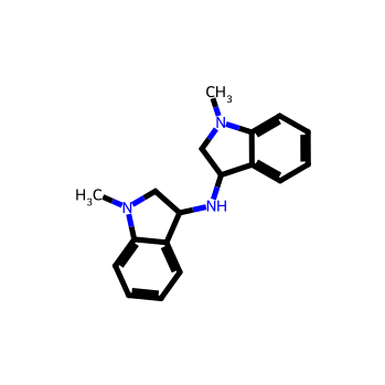 CN1CC(NC2CN(C)c3ccccc32)c2ccccc21